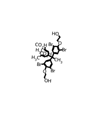 CC(=CC(C=C(C)C(=O)O)C(C)(c1cc(Br)c(OCCO)c(Br)c1)c1cc(Br)c(OCCO)c(Br)c1)C(=O)O